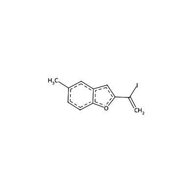 C=C(I)c1cc2cc(C)ccc2o1